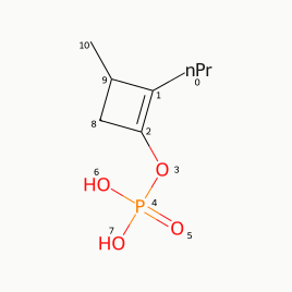 CCCC1=C(OP(=O)(O)O)CC1C